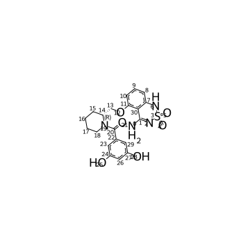 NC1=NS(=O)(=O)Nc2cccc(OC[C@H]3CCCCN3C(=O)c3cc(O)cc(O)c3)c21